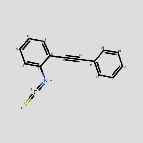 S=C=Nc1ccccc1C#Cc1ccccc1